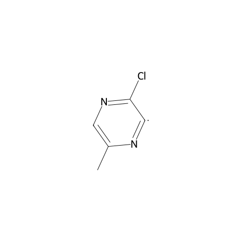 Cc1cnc(Cl)[c]n1